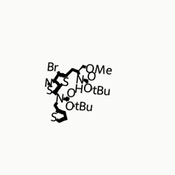 COC[C@H](Cc1sc2c(N(Cc3cccs3)C(=O)OC(C)(C)C)snc2c1Br)NC(=O)OC(C)(C)C